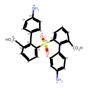 Nc1ccc(-c2c(C(=O)O)cccc2S(=O)(=O)c2cccc(C(=O)O)c2-c2ccc(N)cc2)cc1